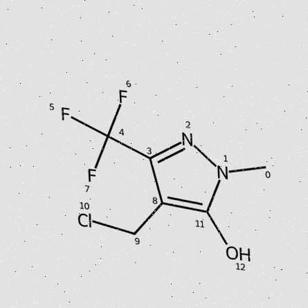 Cn1nc(C(F)(F)F)c(CCl)c1O